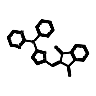 O=C1C(=Cc2ccc(N(c3ccccc3)c3ncccn3)s2)C(=O)c2ccccc21